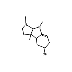 CN1CCC2(C)C3CC(O)CC=C3N(C)C12